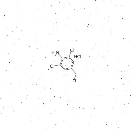 Cl.Nc1c(Cl)cc(CCl)cc1Cl